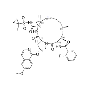 COc1ccc2c(O[C@@H]3C[C@H]4C(=O)N[C@]5(C(=O)NS(=O)(=O)C6(F)CC6)C[C@H]5/C=C\CC[C@@H](C)C[C@@H](C)[C@H](NC(=O)c5ccccc5F)C(=O)N4C3)nccc2c1